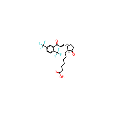 O=C(O)CCCCCC[C@@H]1C(=O)CC[C@H]1C=CC(=O)c1cc(C(F)(F)F)ccc1C(F)(F)F